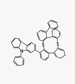 C1=CC2=C(CC1)c1c(cccc1-c1ccccc1)Sc1c(cccc1-c1ccc3c4ccccc4n(-c4ccccc4)c3c1)C1=CCCC=C1S2